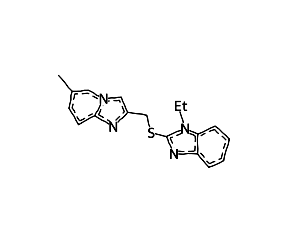 CCn1c(SCc2cn3cc(C)ccc3n2)nc2ccccc21